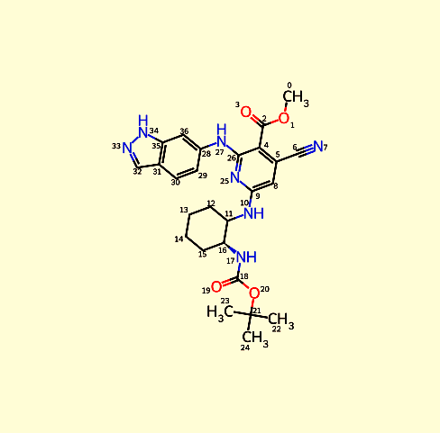 COC(=O)c1c(C#N)cc(NC2CCCC[C@@H]2NC(=O)OC(C)(C)C)nc1Nc1ccc2cn[nH]c2c1